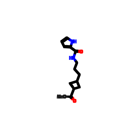 COC(=O)C1CC(CCCNC(=O)c2ccc[nH]2)C1